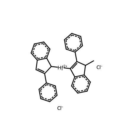 CC1C(c2ccccc2)=[C]([Hf+2][CH]2C(c3ccccc3)=Cc3ccccc32)c2ccccc21.[Cl-].[Cl-]